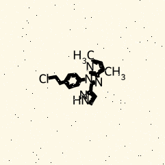 Cc1cc(C)c2nc(-c3cc[nH]n3)n(-c3ccc(CCCl)cc3)c2n1